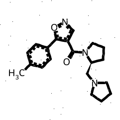 Cc1ccc(-c2oncc2C(=O)N2CCC[C@H]2CN2CCCC2)cc1